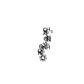 CN1CC(c2nnc([C@H]3C[C@H](NC(=O)c4cc(-c5ccccc5)no4)C3)o2)C1